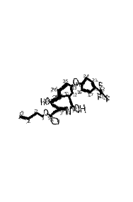 CCCCOC(=O)c1nc(O)c2cc(Oc3ccc(C(F)(F)F)cc3)ccc2c1O